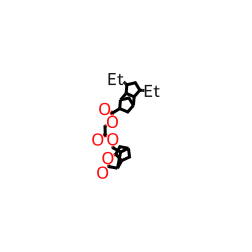 CCC1CC(CC)C2C3CC(CC3C(=O)OCC(=O)OCC3C4CC5OC(=O)C3C5C4)C12